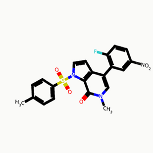 Cc1ccc(S(=O)(=O)n2ccc3c(-c4cc([N+](=O)[O-])ccc4F)cn(C)c(=O)c32)cc1